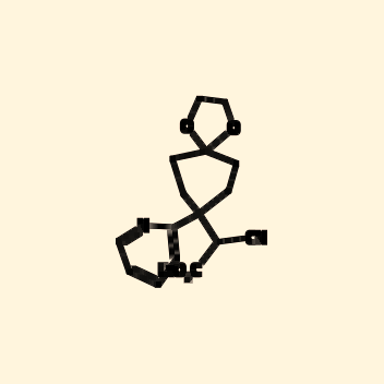 CCOC(=O)C(C#N)C1(c2ccccn2)CCC2(CC1)OCCO2